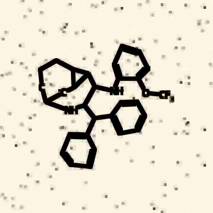 FC(F)(F)Oc1ccccc1NC1C(C(c2ccccc2)c2ccccc2)NC2CCCC3C(C2)C31